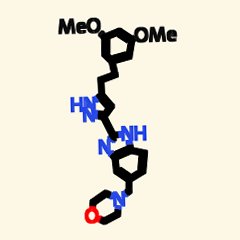 COc1cc(CCc2cc(-c3nc4cc(CN5CCOCC5)ccc4[nH]3)n[nH]2)cc(OC)c1